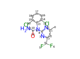 Cc1cc(C(F)F)nc(N(C(N)=O)c2c(Cl)cccc2Cl)n1